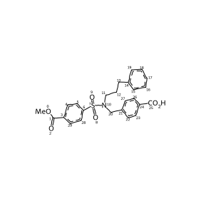 COC(=O)c1ccc(S(=O)(=O)N(CCCc2ccccc2)Cc2ccc(C(=O)O)cc2)cc1